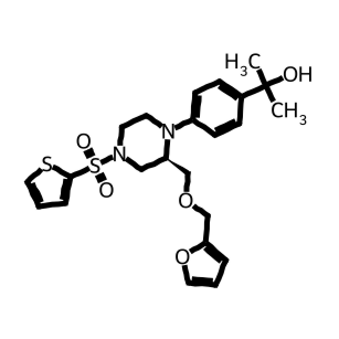 CC(C)(O)c1ccc(N2CCN(S(=O)(=O)c3cccs3)C[C@@H]2COCc2ccco2)cc1